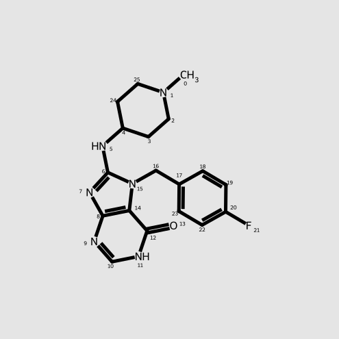 CN1CCC(Nc2nc3nc[nH]c(=O)c3n2Cc2ccc(F)cc2)CC1